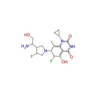 CC1=c2c(c(=O)[nH]c(=O)n2C2CC2)=C(O)C(F)C1N1CC(F)C(C(N)CO)C1